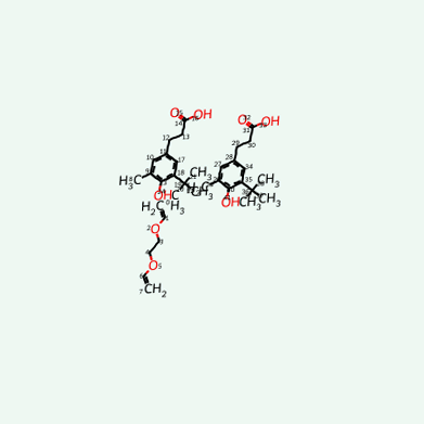 C=COCCOC=C.Cc1cc(CCC(=O)O)cc(C(C)(C)C)c1O.Cc1cc(CCC(=O)O)cc(C(C)(C)C)c1O